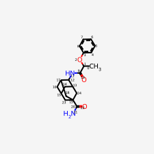 CC(Oc1ccccc1)C(=O)NC1C2CC3CC1CC(C(N)=O)(C3)C2